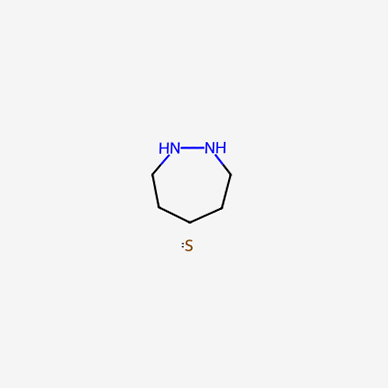 C1CCNNCC1.[S]